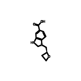 O=C(O)c1ccc2c(c1)NCN2C[C@@H]1CCO1